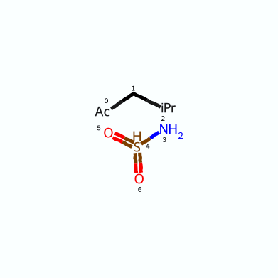 CC(=O)CC(C)C.N[SH](=O)=O